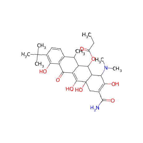 CCC(=O)OC1C2C(=C(O)C3(O)CC(C(N)=O)=C(O)C(N(C)C)C13)C(=O)c1c(ccc(C(C)(C)C)c1O)C2C